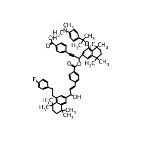 CN(C)c1ccc(C(C)(C)Oc2cc(C(C#Cc3ccc(C(=O)O)cc3)OC(=O)c3ccc(C=CC(O)c4cc(CCc5ccc(F)cc5)c5c(c4)C(C)(C)CCC5(C)C)cc3)cc3c2C(C)(C)CCC3(C)C)cc1